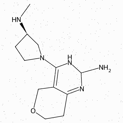 CN[C@@H]1CCN(C2=C3COCCC3=NC(N)N2)C1